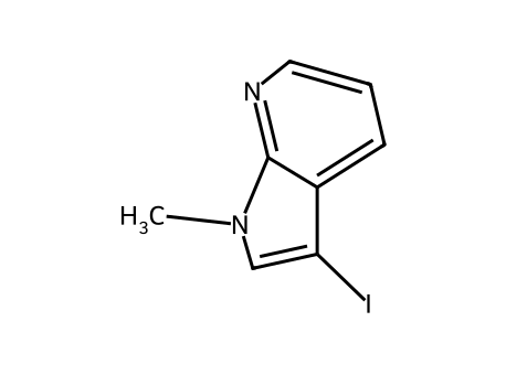 Cn1cc(I)c2cccnc21